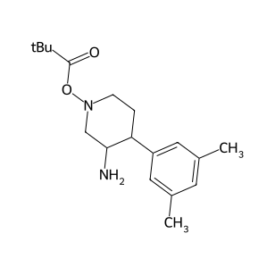 Cc1cc(C)cc(C2CCN(OC(=O)C(C)(C)C)CC2N)c1